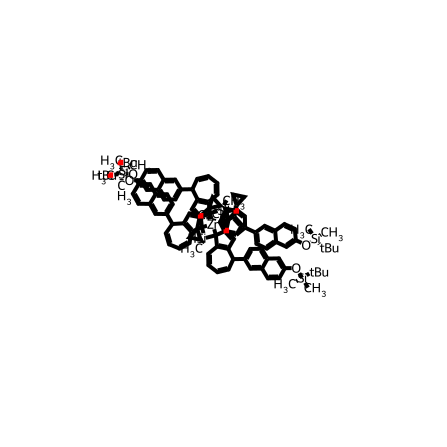 C[SiH]1[C]2(C(C3CC3)=CC3=C2C=CC=CC3c2ccc3cc(O[Si](C)(C)C(C)(C)C)ccc3c2)[Zr]2([Cl])([Cl])([C]13C(C1CC1)=CC1=C3C=CC=CC1c1ccc3cc(O[Si](C)(C)C(C)(C)C)ccc3c1)[C]1(C(C3CC3)=CC3=C1C=CC=CC3c1ccc3cc(O[Si](C)(C)C(C)(C)C)ccc3c1)[SiH](C)[C]21C(C2CC2)=CC2=C1C=CC=CC2c1ccc2cc(O[Si](C)(C)C(C)(C)C)ccc2c1